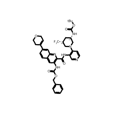 CC(C)(C)OC(=O)N[C@H]1C[C@@H](C(F)(F)F)CN(c2ccncc2NC(=O)c2nc3cc(C4=CCOCC4)ccc3cc2NC(=O)OCc2ccccc2)C1